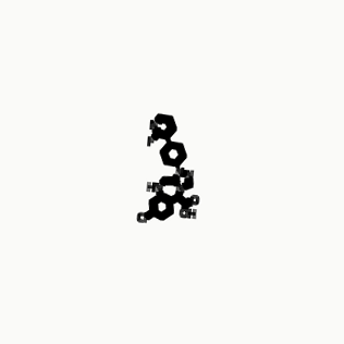 O=C(O)C1C2=C(C=C(Cl)CC2)NC=C2N1C=NN2[C@H]1CC[C@H](c2cccnc2F)CC1